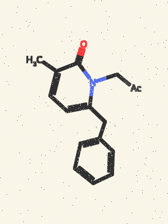 CC(=O)Cn1c(Cc2ccccc2)ccc(C)c1=O